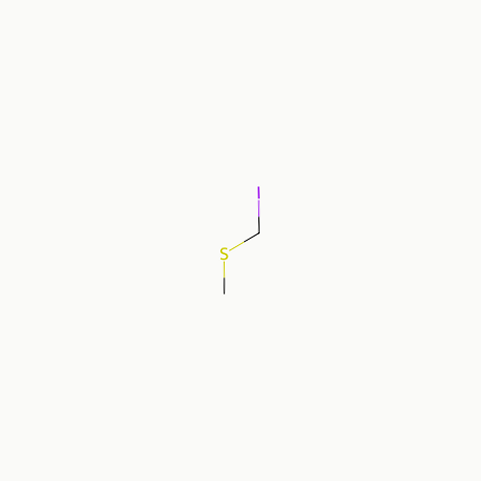 CSCI